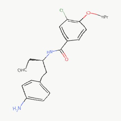 CCCOc1ccc(C(=O)N[C@H](CC=O)Cc2ccc(N)cc2)cc1Cl